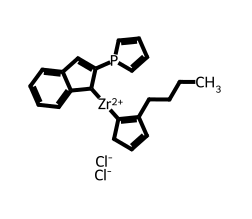 CCCCC1=[C]([Zr+2][CH]2C(p3cccc3)=Cc3ccccc32)CC=C1.[Cl-].[Cl-]